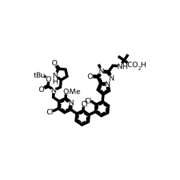 COc1nc(-c2cccc(-c3cccc(-c4cc5c(=O)n(C)c(CNC(C)(C)C(=O)O)nn5c4)c3Cl)c2Cl)cc(Cl)c1CN(CC1CCC(=O)N1)C(=O)OC(C)(C)C